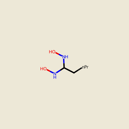 CCCCC(NO)NO